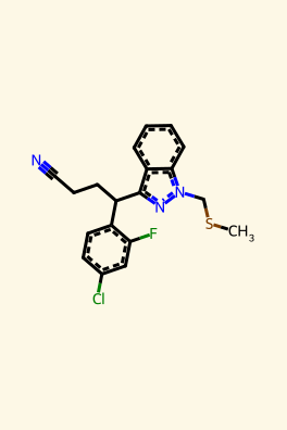 CSCn1nc(C(CCC#N)c2ccc(Cl)cc2F)c2ccccc21